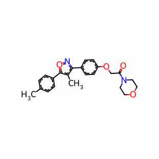 Cc1ccc(-c2onc(-c3ccc(OCC(=O)N4CCOCC4)cc3)c2C)cc1